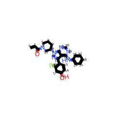 C=CC(=O)N1CCCC(n2nc(-c3ccc(O)cc3F)c3c(Nc4ccccc4)ncnc32)C1